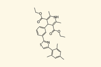 CCOC(=O)C1=C(C)NC(C)=C(C(=O)OCC)C1c1cccc(-c2nc(-c3c(C)cc(C)cc3C)cs2)c1